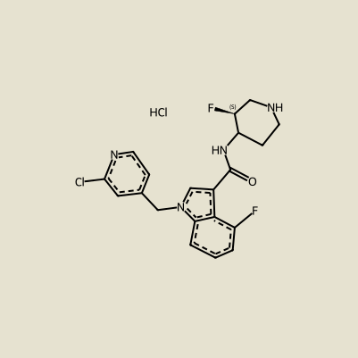 Cl.O=C(NC1CCNC[C@@H]1F)c1cn(Cc2ccnc(Cl)c2)c2cccc(F)c12